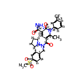 Cc1c(C(=O)N(Cc2ccc(S(C)(=O)=O)cc2)N2CCCC2)cc(C(N)=O)c(=O)n1-c1cccc(C(F)(F)F)c1